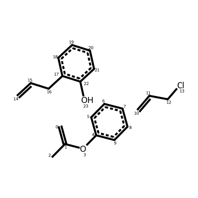 C=C(C)Oc1ccccc1.C=CCCl.C=CCc1ccccc1O